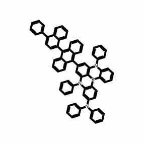 c1ccc(-c2ccc(-c3c4ccccc4c(-c4cc5c6c(c4)N(c4ccccc4)c4cc(N(c7ccccc7)c7ccccc7)ccc4B6c4ccccc4N5c4ccccc4)c4ccccc34)c3ccccc23)cc1